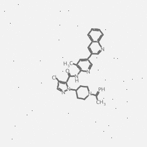 CC(=P)N1CCC(n2ncc(Cl)c2C(=O)Nc2ncc(-c3cnc4ccccc4c3)cc2C)CC1